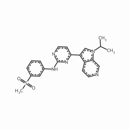 CC(C)n1cc(-c2ccnc(Nc3cccc(S(C)(=O)=O)c3)n2)c2ccncc21